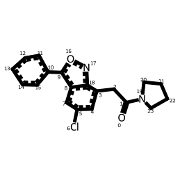 O=C(Cc1cc(Cl)cc2c(-c3ccccc3)onc12)N1CCCC1